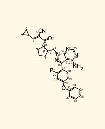 N#CC(=CC1CC1)C(=O)N1CCC[C@@H]1Cn1nc(-c2ccc(Oc3ccccc3)cc2F)c2c(N)ncnc21